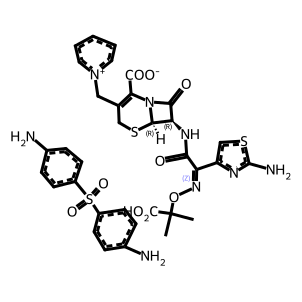 CC(C)(O/N=C(\C(=O)N[C@@H]1C(=O)N2C(C(=O)[O-])=C(C[n+]3ccccc3)CS[C@H]12)c1csc(N)n1)C(=O)O.Nc1ccc(S(=O)(=O)c2ccc(N)cc2)cc1